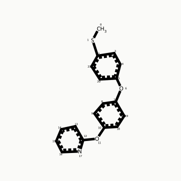 CSc1ccc(Oc2ccc(Oc3cc[c]cn3)cc2)cc1